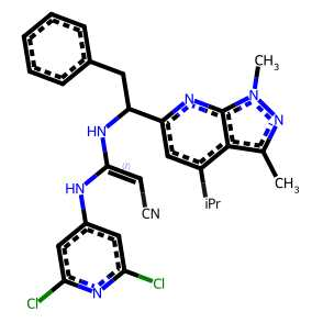 Cc1nn(C)c2nc(C(Cc3ccccc3)N/C(=C/C#N)Nc3cc(Cl)nc(Cl)c3)cc(C(C)C)c12